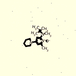 Cc1cc(N2CCCCC2)cc(N(C)C(C)(C)C)[n+]1[O-]